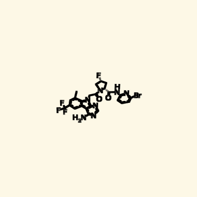 Cc1cc(C(F)(F)F)cc2c3c(N)ncnc3n(CC(=O)N3C[C@H](F)C[C@@H]3C(=O)Nc3cccc(Br)n3)c12